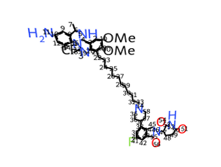 COc1cc2c(NC(C)c3cc(N)cc(C(F)(F)F)c3)nc(C)nc2c(CCCCCCCCCCCCN2CCC(c3cc(F)cc4c3CN(C3CCC(=O)NC3=O)C4=O)CC2)c1OC